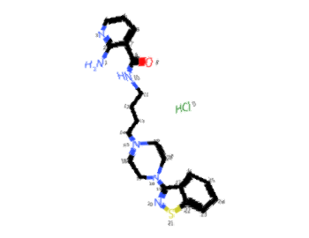 Cl.Nc1ncccc1C(=O)NCCCCN1CCN(c2nsc3ccccc23)CC1